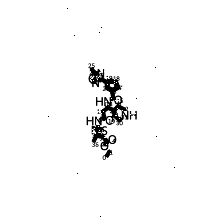 CCOC(=O)c1sc(NC(=O)CC(NC(=O)c2cccc(-c3noc(C)n3)c2)C2CCNCC2)nc1C